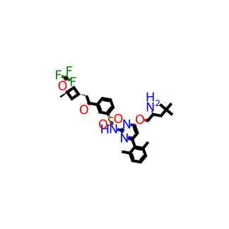 Cc1cccc(C)c1-c1cc(OC[C@H](N)CC(C)(C)C)nc(NS(=O)(=O)c2cccc(C(=O)C[C@H]3C[C@@](C)(OC(F)(F)F)C3)c2)n1